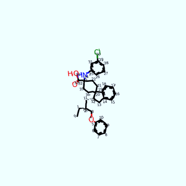 CC[C@H](COc1ccccc1)C[C@H]1Cc2ccccc2C12CCC(Nc1cccc(Cl)c1)(C(=O)O)CC2